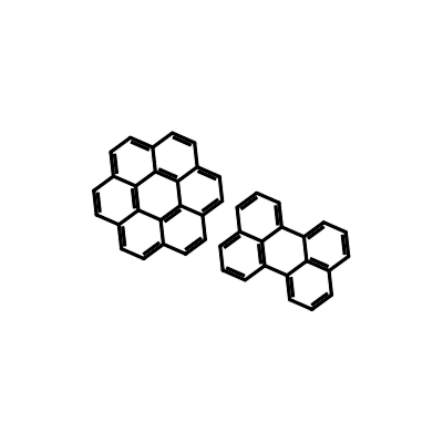 c1cc2ccc3ccc4ccc5ccc6ccc1c1c2c3c4c5c61.c1cc2cccc3c4cccc5cccc(c(c1)c23)c54